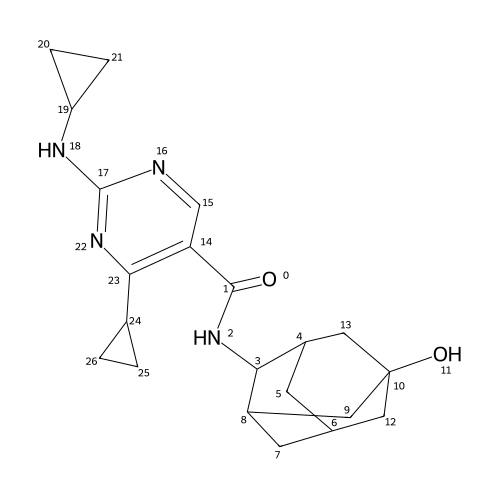 O=C(NC1C2CC3CC1CC(O)(C3)C2)c1cnc(NC2CC2)nc1C1CC1